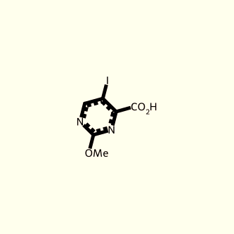 COc1ncc(I)c(C(=O)O)n1